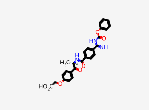 C[C@H](NC(=O)c1ccc(C(=N)NC(=O)Oc2ccccc2)cc1)C(=O)c1ccc(OCC(=O)O)cc1